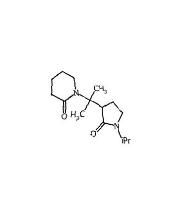 CC(C)N1CCC(C(C)(C)N2CCCCC2=O)C1=O